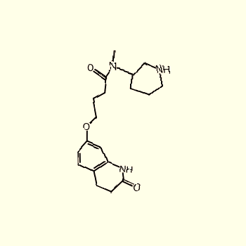 CN(C(=O)CCCOc1ccc2c(c1)NC(=O)CC2)C1CCCNC1